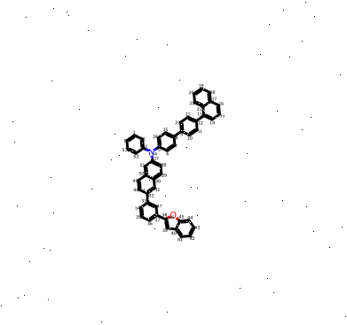 c1ccc(N(c2ccc(-c3ccc(-c4cccc5ccccc45)cc3)cc2)c2ccc3cc(-c4cccc(-c5cc6ccccc6o5)c4)ccc3c2)cc1